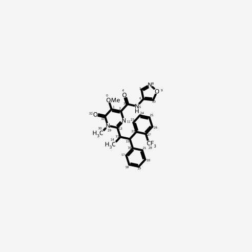 COc1c(C(=O)Nc2cnoc2)nc(C(C)C(c2ccccc2)c2ccccc2C(F)(F)F)n(C)c1=O